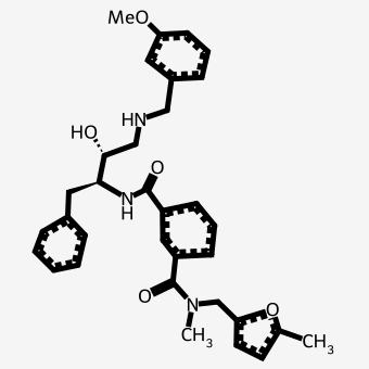 COc1cccc(CNC[C@@H](O)[C@H](Cc2ccccc2)NC(=O)c2cccc(C(=O)N(C)Cc3ccc(C)o3)c2)c1